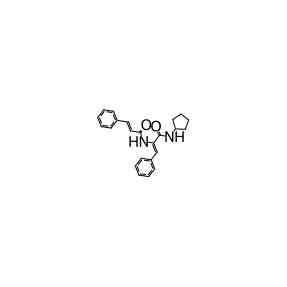 O=C(/C=C/c1ccccc1)N/C(=C\c1ccccc1)C(=O)NC1CCCC1